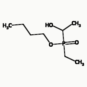 CCCCOP(=O)(CC)C(C)O